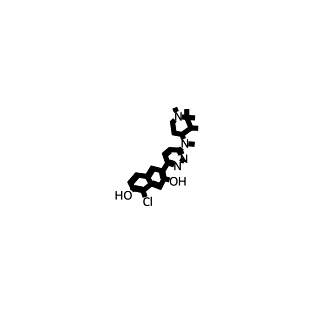 CC1C(N(C)c2ccc(-c3cc4ccc(O)c(Cl)c4cc3O)nn2)CCN(C)C1(C)C